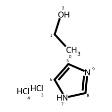 CCO.Cl.Cl.c1c[nH]cn1